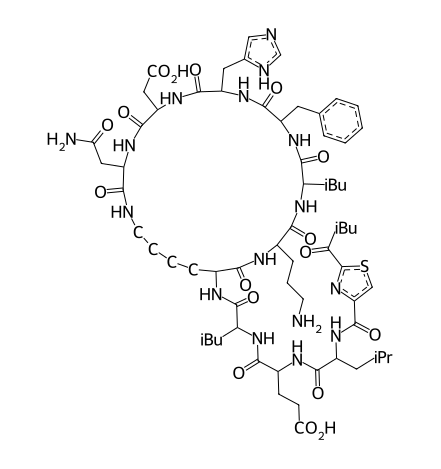 CCC(C)C(=O)c1nc(C(=O)NC(CC(C)C)C(=O)NC(CCC(=O)O)C(=O)NC(C(=O)NC2CCCCNC(=O)C(CC(N)=O)NC(=O)C(CC(=O)O)NC(=O)C(Cc3cnc[nH]3)NC(=O)C(Cc3ccccc3)NC(=O)C(C(C)CC)NC(=O)C(CCCN)NC2=O)C(C)CC)cs1